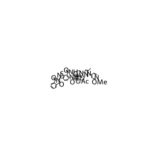 COc1cc(-n2nc(N3CCO[C@H]([C@@H](OC(C)=O)C(=O)Nc4ccc5c(N6C(=O)c7ccccc7C6=O)nsc5c4C(N)=O)C3=O)cc2C)ccn1